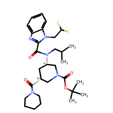 CC(C)CN(C(=O)c1nc2ccccc2n1CC(F)F)[C@H]1C[C@@H](C(=O)N2CCCCC2)CN(C(=O)OC(C)(C)C)C1